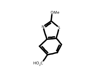 COc1nc2cc(C(=O)O)ccc2s1